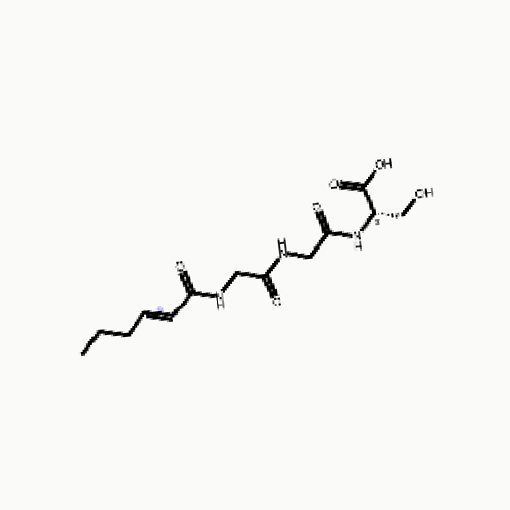 CCC/C=C/C(=O)NCC(=O)NCC(=O)N[C@@H](CO)C(=O)O